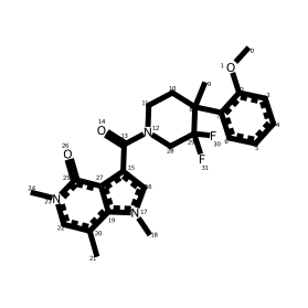 COc1ccccc1C1(C)CCN(C(=O)c2cn(C)c3c(C)cn(C)c(=O)c23)CC1(F)F